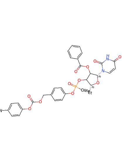 CC[C@H]1O[C@@H](n2ccc(=O)[nH]c2=O)C(OC(=O)c2ccccc2)C1OP(=O)(OC)Oc1ccc(COC(=O)Oc2ccc([N+](=O)[O-])cc2)cc1